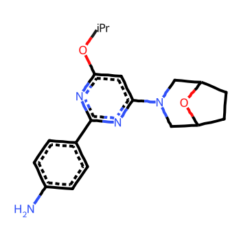 CC(C)Oc1cc(N2CC3CCC(C2)O3)nc(-c2ccc(N)cc2)n1